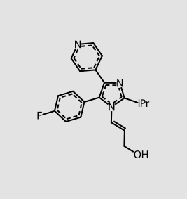 CC(C)c1nc(-c2ccncc2)c(-c2ccc(F)cc2)n1C=CCO